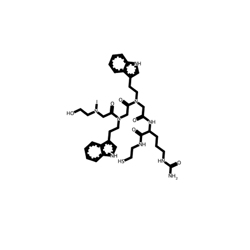 NC(=O)NCCCC(NC(=O)CN(CCc1c[nH]c2ccccc12)C(=O)CN(CCc1c[nH]c2ccccc12)C(=O)CN(I)CCO)C(=O)NCCS